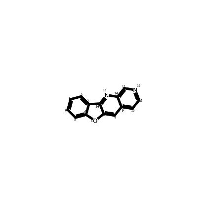 c1ccc2c(c1)oc1cc3ccncc3nc12